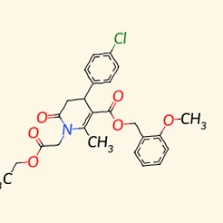 CCOC(=O)CN1C(=O)CC(c2ccc(Cl)cc2)C(C(=O)OCc2ccccc2OC)=C1C